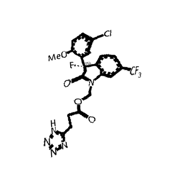 COc1ccc(Cl)cc1[C@]1(F)C(=O)N(COC(=O)CCc2nnn[nH]2)c2cc(C(F)(F)F)ccc21